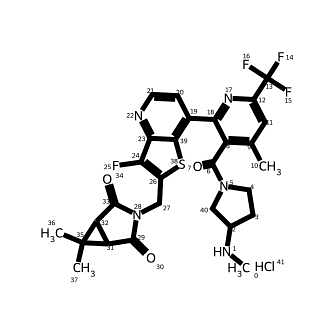 CNC1CCN(C(=O)c2c(C)cc(C(F)(F)F)nc2-c2ccnc3c(F)c(CN4C(=O)C5C(C4=O)C5(C)C)sc23)C1.Cl